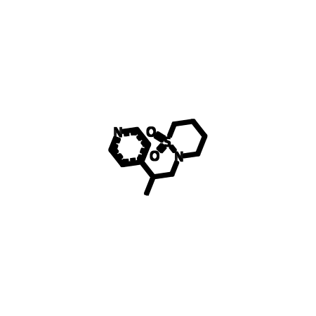 CC(CN1CCCCS1(=O)=O)c1ccncc1